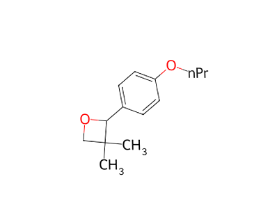 CCCOc1ccc(C2OCC2(C)C)cc1